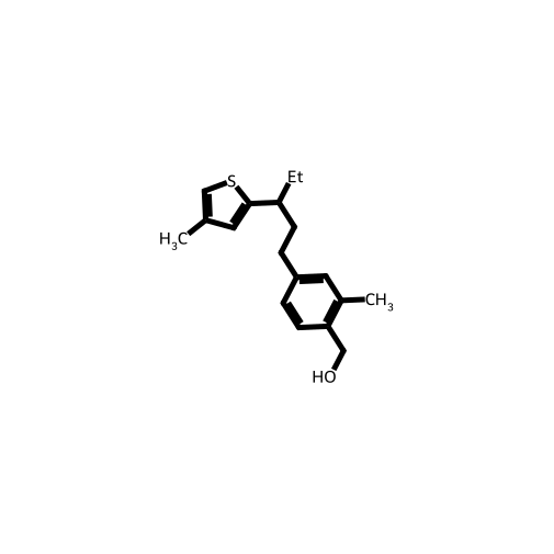 CCC(CCc1ccc(CO)c(C)c1)c1cc(C)cs1